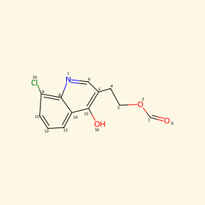 O=COCCc1cnc2c(Cl)cccc2c1O